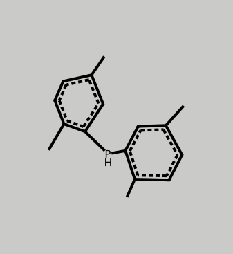 Cc1ccc(C)c(Pc2cc(C)ccc2C)c1